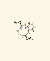 CC(=O)O/C1=C\CCCC(OC(C)=O)Cc2ccccc2C1